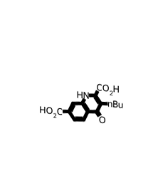 CCCCc1c(C(=O)O)[nH]c2cc(C(=O)O)ccc2c1=O